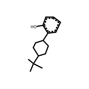 CC(C)(C)C1CCC(c2ccccc2O)CC1